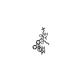 CCCCC(=O)N(Cc1ccc(-c2ccccc2S(=O)(=O)Nc2onc(C)c2C)cc1)[C@H](C(=O)NCCC(C)(C)C)C(C)C